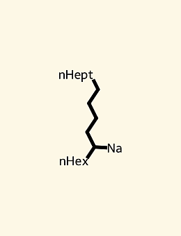 CCCCCCCCCCC[CH]([Na])CCCCCC